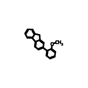 COc1ccccc1-c1ccc2c(c1)Cc1ccccc1-2